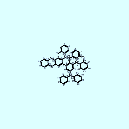 Cc1ccccc1Nc1cc2c(cc1-c1cc(N(c3ccccc3)c3ccccc3)cc3c1Bc1cccc4c1N3c1ccccc1O4)Sc1ccccc1S2